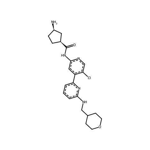 N[C@@H]1CC[C@H](C(=O)Nc2cc(-c3cccc(NCC4CCOCC4)n3)c(Cl)cn2)C1